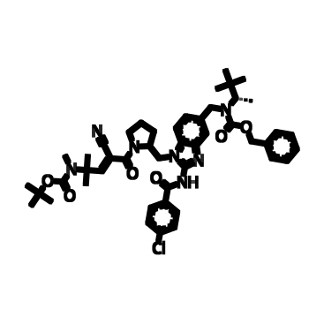 C[C@H](N(Cc1ccc2c(c1)nc(NC(=O)c1ccc(Cl)cc1)n2CC1CCCN1C(=O)C(C#N)=CC(C)(C)N(C)C(=O)OC(C)(C)C)C(=O)OCc1ccccc1)C(C)(C)C